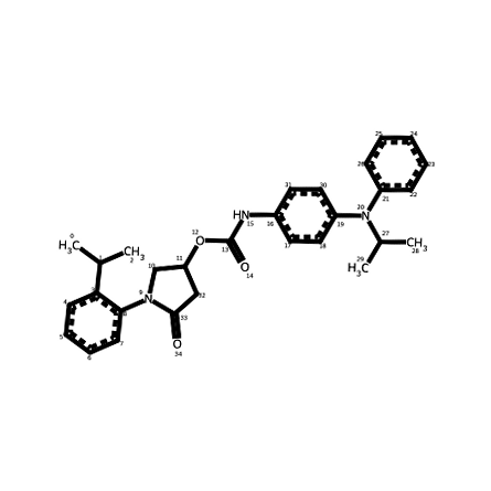 CC(C)c1ccccc1N1CC(OC(=O)Nc2ccc(N(c3ccccc3)C(C)C)cc2)CC1=O